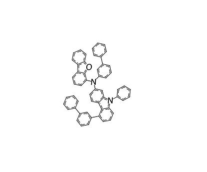 c1ccc(-c2cccc(-c3cccc4c3c3ccc(N(c5cccc(-c6ccccc6)c5)c5cccc6c5oc5ccccc56)cc3n4-c3ccccc3)c2)cc1